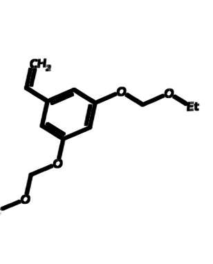 C=Cc1cc(OCOCC)cc(OCOCC)c1